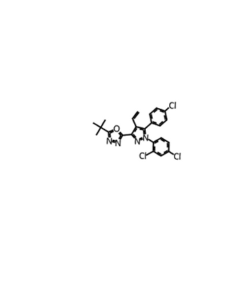 C=Cc1c(-c2nnc(C(C)(C)C)o2)nn(-c2ccc(Cl)cc2Cl)c1-c1ccc(Cl)cc1